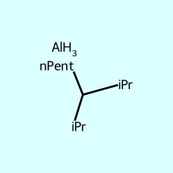 [AlH3].[CH2]CCCCC(C(C)C)C(C)C